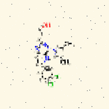 CCCN(CCC)c1nc(CCCO)nc2ccc(-c3ccc(Cl)c(Cl)c3)nc12